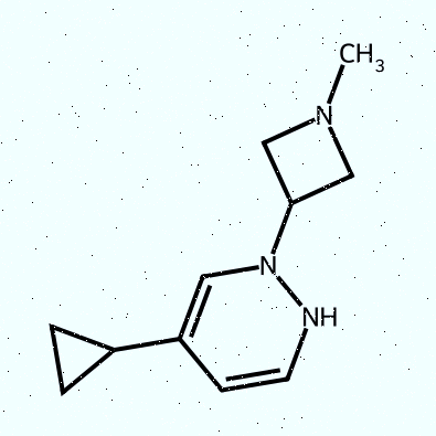 CN1CC(N2C=C(C3CC3)C=CN2)C1